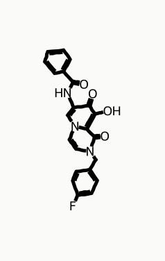 O=C(Nc1cn2ccn(Cc3ccc(F)cc3)c(=O)c2c(O)c1=O)c1ccccc1